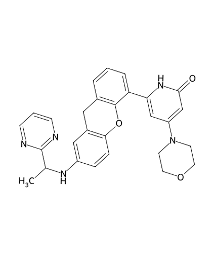 CC(Nc1ccc2c(c1)Cc1cccc(-c3cc(N4CCOCC4)cc(=O)[nH]3)c1O2)c1ncccn1